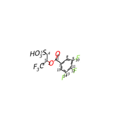 O=C(OC(CS(=O)(=O)O)C(F)(F)F)c1cc(F)c(F)c(F)c1